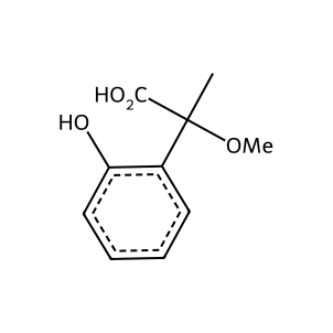 COC(C)(C(=O)O)c1ccccc1O